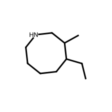 CCC1CCCCNCC1C